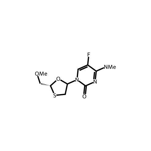 CNc1nc(=O)n(C2CS[C@H](COC)O2)cc1F